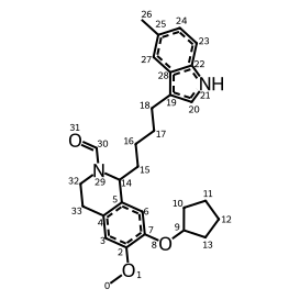 COc1cc2c(cc1OC1CCCC1)C(CCCCc1c[nH]c3ccc(C)cc13)N(C=O)CC2